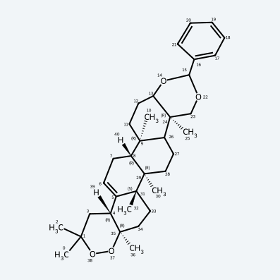 CC1(C)C[C@@H]2C3=CC[C@@H]4[C@@]5(C)CCC6OC(c7ccccc7)OC[C@@]6(C)C5CC[C@@]4(C)[C@]3(C)CC[C@@]2(C)OO1